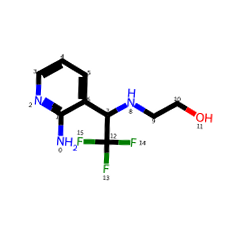 Nc1ncccc1C(NCCO)C(F)(F)F